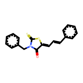 O=C1/C(=C/C=C/c2ccccc2)SC(=S)N1Cc1ccccc1